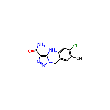 N#Cc1cc(Cn2nnc(C(N)=O)c2N)ccc1Cl